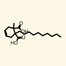 CCCCCCCCCCC1(C(=O)O)CC=CCC1(C)C(=O)O